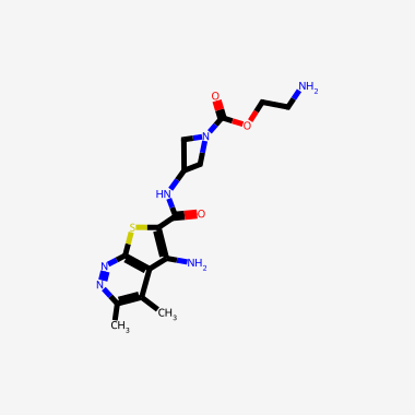 Cc1nnc2sc(C(=O)NC3CN(C(=O)OCCN)C3)c(N)c2c1C